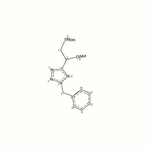 CCCCCCCCCCC(OC)c1nnn(Cc2ccccc2)n1